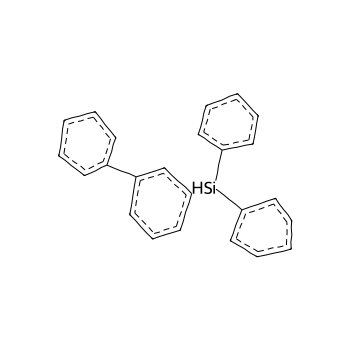 c1ccc(-c2cccc([SiH](c3ccccc3)c3ccccc3)c2)cc1